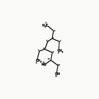 CCC(CC)CC(CC)CC(O)CO